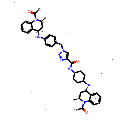 CCC(=O)N1c2ccccc2[C@H](Nc2ccc(Cn3cc(C(=O)NC4CCC(N[C@@H]5C[C@H](C)N(C(=O)CC)c6ccccc65)CC4)nn3)cc2)C[C@@H]1C